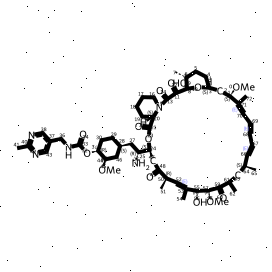 CO[C@H]1C[C@@H]2CC[C@@H](C)[C@@](O)(O2)C(=O)C(=O)N2CCCC[C@H]2C(=O)O[C@H]([C@H](N)C[C@@H]2CC[C@@H](OC(=O)NCc3cnc(C)nc3)[C@H](OC)C2)CC(=O)[C@H](C)/C=C(\C)[C@@H](O)[C@@H](OC)C(=O)C(C)C[C@H](C)/C=C/C=C/C=C/1C